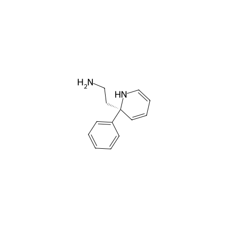 NCC[C@@]1(c2ccccc2)C=CC=CN1